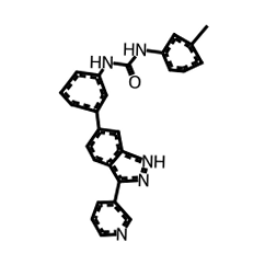 Cc1cccc(NC(=O)Nc2cccc(-c3ccc4c(-c5cccnc5)n[nH]c4c3)c2)c1